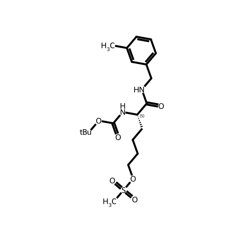 Cc1cccc(CNC(=O)[C@H](CCCCOS(C)(=O)=O)NC(=O)OC(C)(C)C)c1